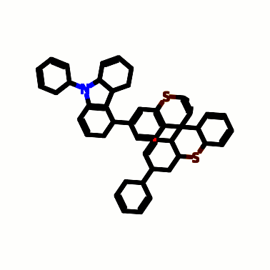 C1=CCC(C2C=CC3C(C2)SC2C=CC=CC2C32c3ccccc3Sc3cc(C4CC=CC5=C4C4CCC=CC4N5C4C=CC=CC4)ccc32)C=C1